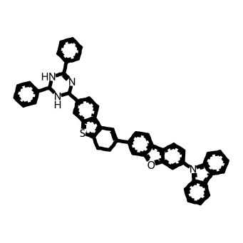 C1=C(c2ccc3c(c2)oc2cc(-n4c5ccccc5c5ccccc54)ccc23)CCc2sc3cc(C4N=C(c5ccccc5)NC(c5ccccc5)N4)ccc3c21